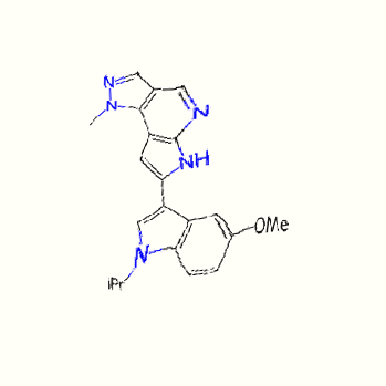 COc1ccc2c(c1)c(-c1cc3c(ncc4cnn(C)c43)[nH]1)cn2C(C)C